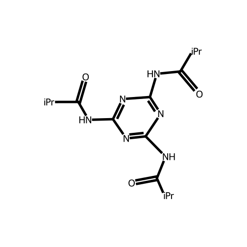 CC(C)C(=O)Nc1nc(NC(=O)C(C)C)nc(NC(=O)C(C)C)n1